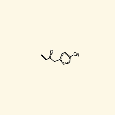 C=CC(=O)Cc1ccc(C#N)cc1